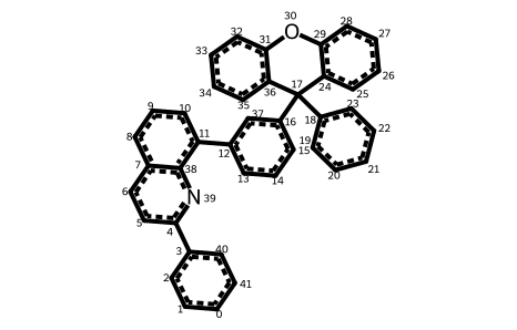 c1ccc(-c2ccc3cccc(-c4cccc(C5(c6ccccc6)c6ccccc6Oc6ccccc65)c4)c3n2)cc1